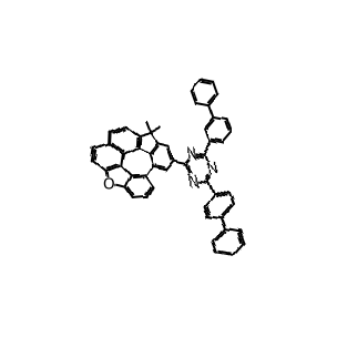 CC1(C)c2cc(-c3nc(-c4ccc(-c5ccccc5)cc4)nc(-c4cccc(-c5ccccc5)c4)n3)cc3c2-c2c1ccc1ccc4oc5cccc-3c5c4c21